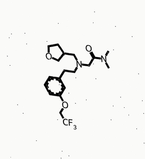 CN(C)C(=O)CN(CCc1cccc(OCC(F)(F)F)c1)CC1CCOC1